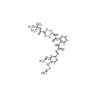 C#CCOc1ccc(/C=C/C(=O)Nc2ccccc2C(=O)NC2CCN(C(=O)OC(C)(C)C)CC2)cc1OC